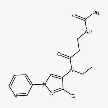 CCN(C(=O)CCNC(=O)O)c1cn(-c2cccnc2)nc1Cl